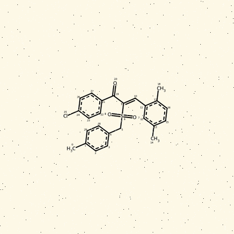 Cc1ccc(CS(=O)(=O)C(=Cc2cc(C)ccc2C)C(=O)c2ccc(Cl)cc2)cc1